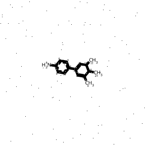 CC1=CC(c2ccc(N)cc2)=CC(C)C1C